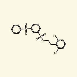 O=S(=O)(NCCc1c(Cl)cccc1Cl)c1cccc(S(=O)(=O)c2ccccc2)c1